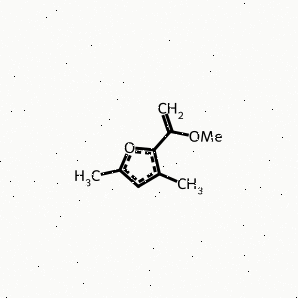 C=C(OC)c1oc(C)cc1C